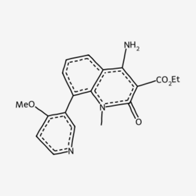 CCOC(=O)c1c(N)c2cccc(-c3cnccc3OC)c2n(C)c1=O